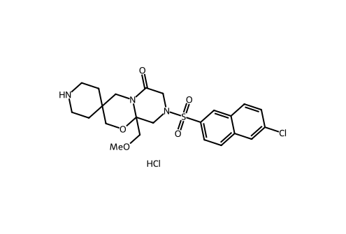 COCC12CN(S(=O)(=O)c3ccc4cc(Cl)ccc4c3)CC(=O)N1CC1(CCNCC1)CO2.Cl